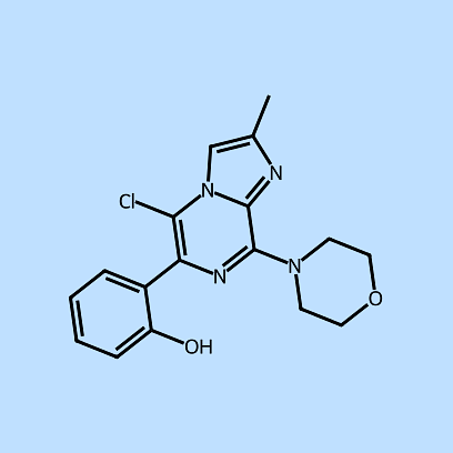 Cc1cn2c(Cl)c(-c3ccccc3O)nc(N3CCOCC3)c2n1